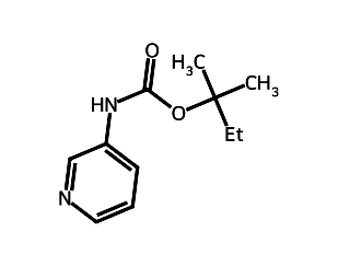 CCC(C)(C)OC(=O)Nc1cccnc1